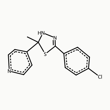 CC1(c2ccncc2)NN=C(c2ccc(Cl)cc2)S1